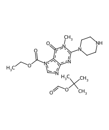 CC(C)(C)OC=O.CCOC(=O)n1cnc2nc(N3CCNCC3)n(C)c(=O)c21